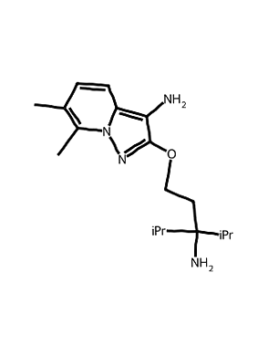 Cc1ccc2c(N)c(OCCC(N)(C(C)C)C(C)C)nn2c1C